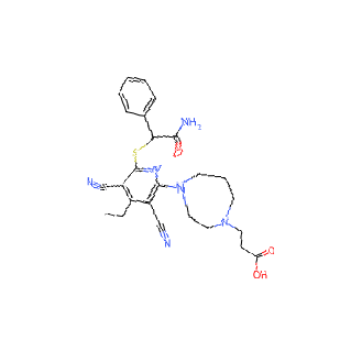 CCc1c(C#N)c(SC(C(N)=O)c2ccccc2)nc(N2CCCN(CCC(=O)O)CC2)c1C#N